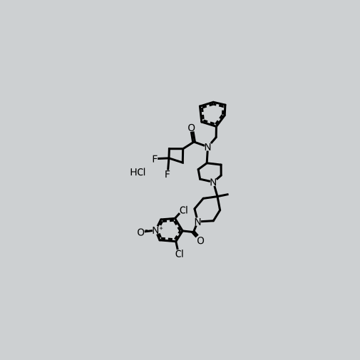 CC1(N2CCC(N(Cc3ccccc3)C(=O)C3CC(F)(F)C3)CC2)CCN(C(=O)c2c(Cl)c[n+]([O-])cc2Cl)CC1.Cl